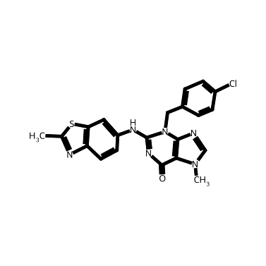 Cc1nc2ccc(Nc3nc(=O)c4c(ncn4C)n3Cc3ccc(Cl)cc3)cc2s1